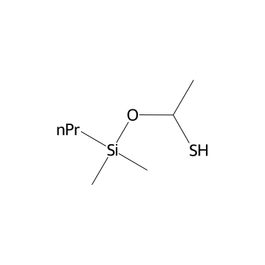 CCC[Si](C)(C)OC(C)S